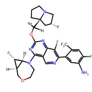 [2H]C([2H])(Oc1nc(N2CCOC[C@H]3[C@H](F)[C@H]32)c2cnc(-c3cc(N)c(F)cc3C(F)(F)F)c(F)c2n1)[C@@]12CCCN1C[C@H](F)C2